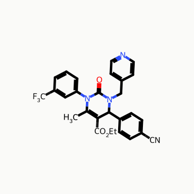 CCOC(=O)C1=C(C)N(c2cccc(C(F)(F)F)c2)C(=O)N(Cc2ccncc2)C1c1ccc(C#N)cc1